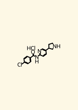 Cl.O=C(Nc1ccc(C2CCNC2)cn1)c1ccc(Cl)cc1